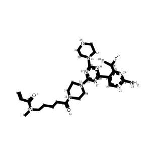 C=CC(=O)N(C)CCCCC(=O)N1CCN(c2nc(-c3cnc(N)nc3C(F)F)nc(N3CCOCC3)n2)CC1